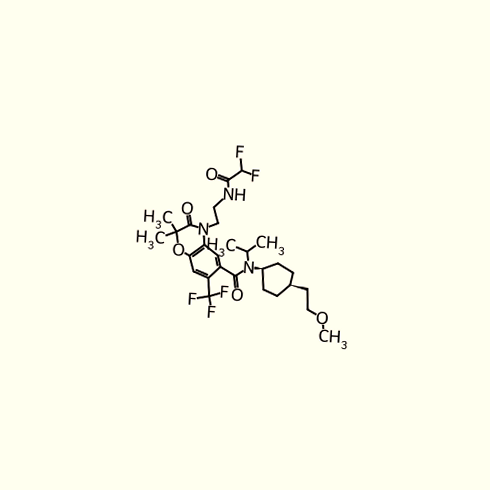 COCC[C@H]1CC[C@@H](N(C(=O)c2cc3c(cc2C(F)(F)F)OC(C)(C)C(=O)N3CCNC(=O)C(F)F)C(C)C)CC1